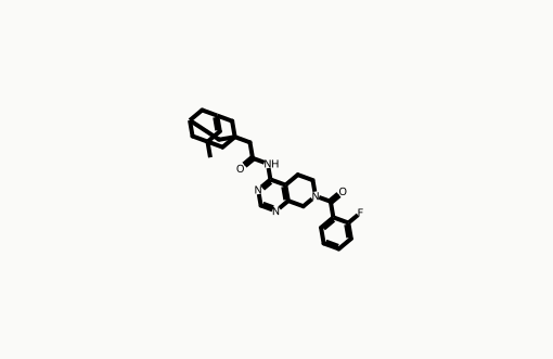 CC12C=C3CC(C1)CC(CC(=O)Nc1ncnc4c1CCN(C(=O)c1ccccc1F)C4)(C3)C2